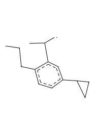 [CH2]C(C)c1cc(C2CC2)ccc1CCC